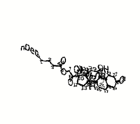 CCCCCCCCCCCCCC(=O)OCC(=O)[C@@]1(O)CC[C@H]2[C@@H]3CCC4=CC(=O)CC[C@]4(C)[C@H]3[C@@H](O)C[C@@]21C